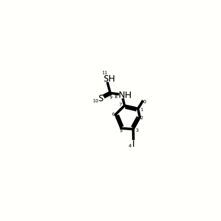 Cc1cc(I)ccc1NC(=S)S